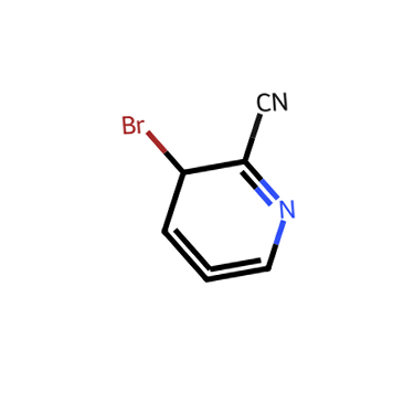 N#CC1=NC=C=CC1Br